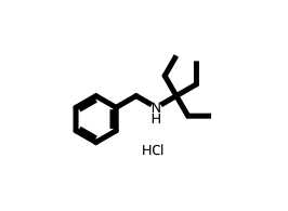 CCC(CC)(CC)NCc1ccccc1.Cl